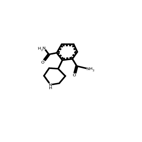 NC(=O)c1cccc(C(N)=O)c1C1CCNCC1